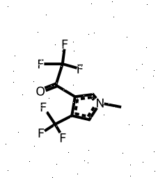 Cn1cc(C(=O)C(F)(F)F)c(C(F)(F)F)c1